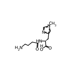 Cn1cnc(C[C@H](NC(=O)CCCN)C(=O)O)c1